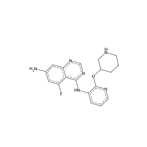 Nc1cc(F)c2c(Nc3cccnc3OC3CCCNC3)ncnc2c1